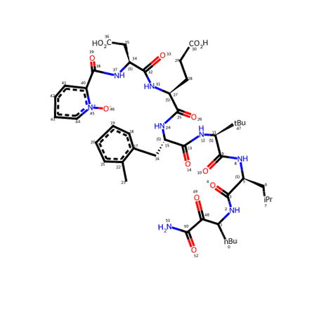 CCCCC(NC(=O)[C@H](CC(C)C)NC(=O)[C@@H](NC(=O)[C@H](Cc1ccccc1C)NC(=O)[C@H](CCC(=O)O)NC(=O)[C@H](CC(=O)O)NC(=O)c1cccc[n+]1[O-])C(C)(C)C)C(=O)C(N)=O